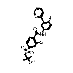 CC(C)(O)CS(=O)(=O)c1ccc(C(=O)Nc2ccc(I)c(-c3ccccn3)c2)c(Cl)c1